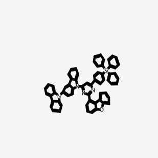 c1ccc([Si](c2ccccc2)(c2ccccc2)c2ccc(-c3cc(-n4c5ccccc5c5cc(-n6c7ccccc7c7ccccc76)ccc54)nc(-c4cccc5oc6ccccc6c45)n3)cc2)cc1